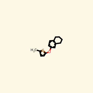 Cc1ccc(Oc2ccc3c(c2)CCCC3)s1